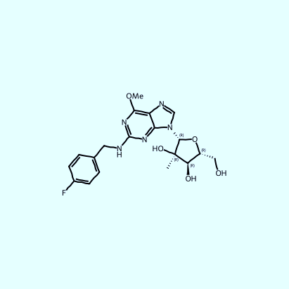 COc1nc(NCc2ccc(F)cc2)nc2c1ncn2[C@@H]1O[C@H](CO)[C@@H](O)[C@@]1(C)O